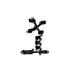 N.N.N.N#CC#N.O=P(O)(O)O